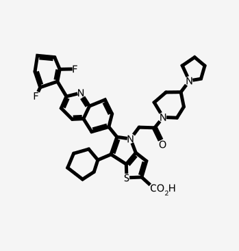 O=C(O)c1cc2c(s1)c(C1CCCCC1)c(-c1ccc3nc(-c4c(F)cccc4F)ccc3c1)n2CC(=O)N1CCC(N2CCCC2)CC1